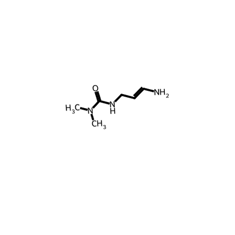 CN(C)C(=O)NCC=CN